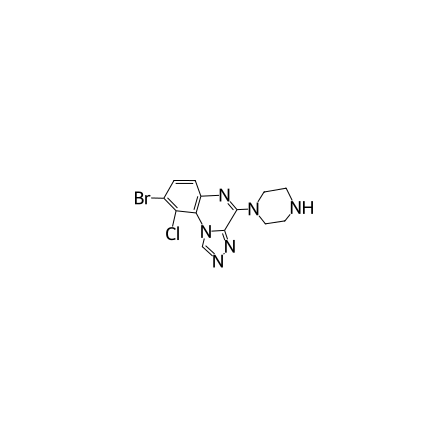 Clc1c(Br)ccc2nc(N3CCNCC3)c3nncn3c12